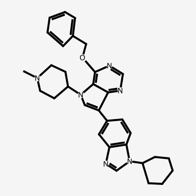 CN1CCC(n2cc(-c3ccc4c(c3)ncn4C3CCCCC3)c3ncnc(OCc4ccccc4)c32)CC1